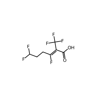 O=C(O)C(=C(F)CCC(F)F)C(F)(F)F